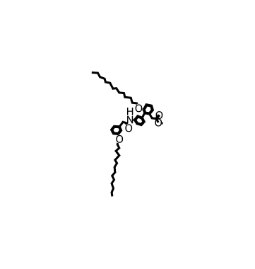 CCCCCCCCCCCCCCOc1cccc(CC(=O)Nc2cccc(-c3c(CC(=O)OC)cccc3OCCCCCCCCCCCCCC)c2)c1